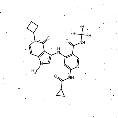 [2H]C([2H])([2H])NC(=O)c1cnc(NC(=O)C2CC2)cc1Nc1cn(C)c2ccn(C3CCC3)c(=O)c12